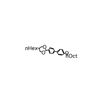 CCCCCCCCOc1ccc(-c2ccc(C3OCC(CCCCCC)CO3)cc2)cc1